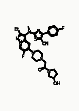 CCc1nn2cc(F)c(N3CCN(CC(=O)N4CC[C@@H](O)C4)CC3)cc2c1N(C)c1nc(-c2ccc(F)cc2)c(C#N)s1